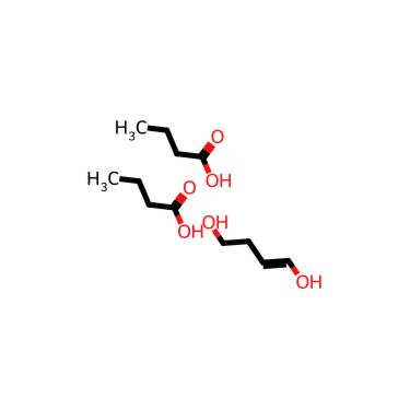 CCCC(=O)O.CCCC(=O)O.OC=CCCO